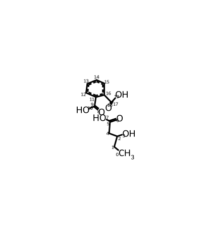 CCC(O)CC(=O)O.O=C(O)c1ccccc1C(=O)O